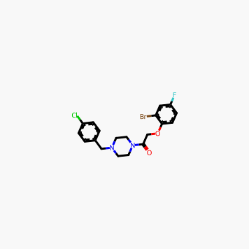 O=C(COc1ccc(F)cc1Br)N1CCN(Cc2ccc(Cl)cc2)CC1